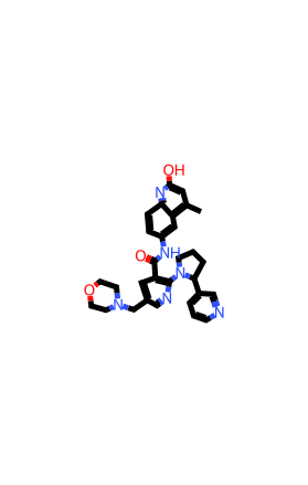 Cc1cc(O)nc2ccc(NC(=O)c3cc(CN4CCOCC4)cnc3N3CCCC3c3cccnc3)cc12